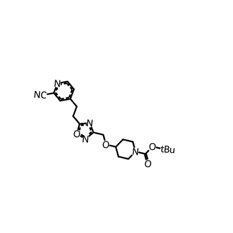 CC(C)(C)OC(=O)N1CCC(OCc2noc(CCc3ccnc(C#N)c3)n2)CC1